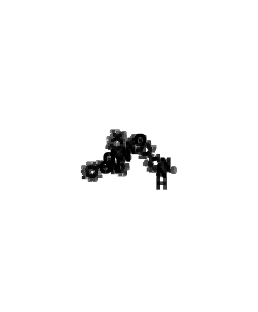 Cc1nc2cc(-c3ccc4c(c3)CN(c3nc([C@@H]5CCCN5C(=O)OCc5ccccc5)nc5c3CC(C)(C)CC5)CCO4)ccc2[nH]1